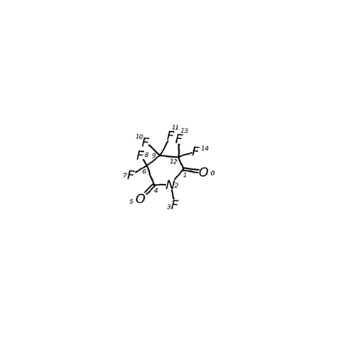 O=C1N(F)C(=O)C(F)(F)C(F)(F)C1(F)F